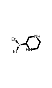 CCN(CC)C1CNCCN1